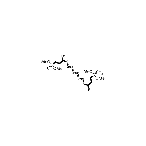 CCC(CC[Si](C)(OC)OC)SSSSSSSSC(CC)CC[Si](C)(OC)OC